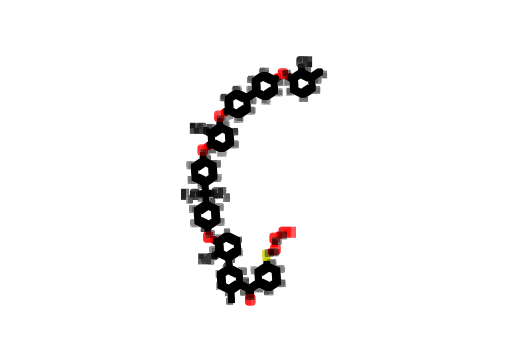 Cc1ccc(-c2cccc(Oc3ccc(C(c4ccc(Oc5cccc(Oc6ccc(-c7ccc(Oc8cccc(C)c8C#N)cc7)cc6)c5C#N)cc4)(C(F)(F)F)C(F)(F)F)cc3)c2C#N)cc1C(=O)c1cccc(SOOO)c1